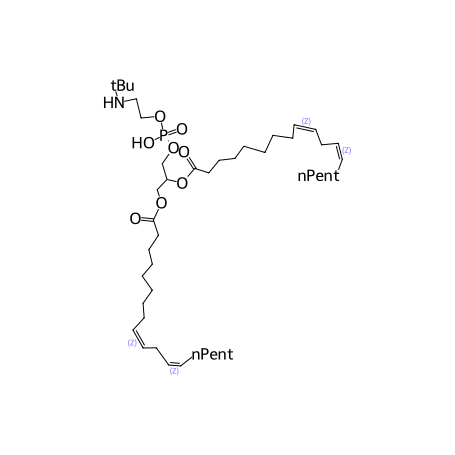 CCCCC/C=C\C/C=C\CCCCCCCC(=O)OCC(COP(=O)(O)OCCNC(C)(C)C)OC(=O)CCCCCCC/C=C\C/C=C\CCCCC